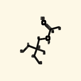 CCC(C)(CC)COC(C)=O